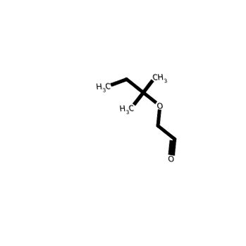 CCC(C)(C)OCC=O